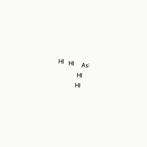 I.I.I.I.[As]